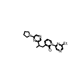 CCc1cncc(-n2cccc(CC(C)c3cncc(N4CCCC4)n3)c2=O)n1